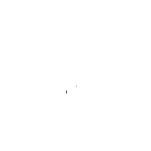 CCC(=O)[C@@H](Nc1nc(N)n(C)n1)C(C)C